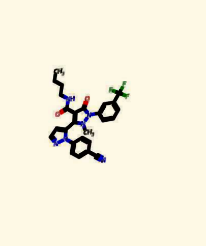 CCCCNC(=O)c1c(-c2ccnn2-c2ccc(C#N)cc2)n(C)n(-c2cccc(C(F)(F)F)c2)c1=O